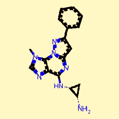 Cn1cnc2c(N[C@@H]3C[C@@H]3N)nc3cc(-c4ccccc4)nn3c21